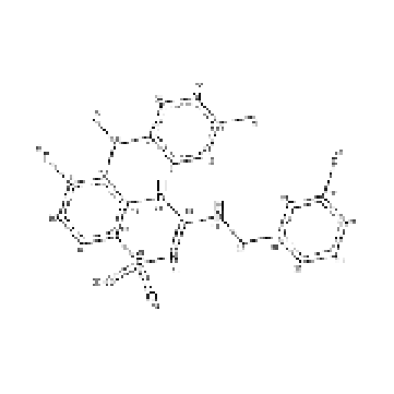 Cc1ccc(C(C)c2c(F)ccc3c2NC(NCc2cccc(F)c2)=NS3(=O)=O)cn1